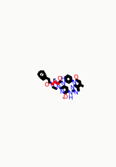 COc1nc(N2CCN(C(=O)CC34CC5CC(CC3C5)C4)CC2)ccc1Nc1ncc2c(C)cc(=O)n(-c3cccc(NC(=O)CN(C)C)c3)c2n1